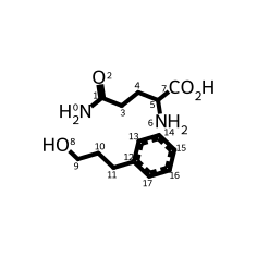 NC(=O)CCC(N)C(=O)O.OCCCc1ccccc1